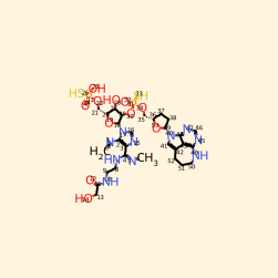 C=Nc1c(/C(=N\C)NCCNC(=O)CO)ncn1[C@@H]1O[C@H](COP(=O)(O)S)[C@@H](O)[C@H]1OP(=O)(S)OC[C@@H]1CC[C@H](n2cc3c4c(ncnc42)NCCC3)O1